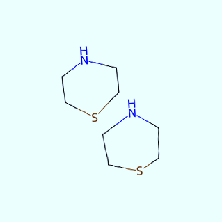 C1CSCCN1.C1CSCCN1